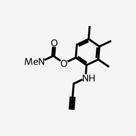 C#CCNc1c(OC(=O)NC)cc(C)c(C)c1C